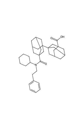 O=C(O)C12CC3CC(C1)CC(C14CC5CC(CC(C(=O)N(CCc6ccccc6)C6CCCCC6)(C5)C1)C4)(C3)C2